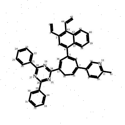 C=Cc1cc(C2=CC(c3ccc(C)nc3)=CCC(c3nc(-c4ccccc4)nc(-c4ccccc4)n3)=C2)c2ccccc2c1C=C